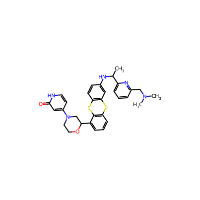 CC(Nc1ccc2c(c1)Sc1cccc(C3CN(c4cc[nH]c(=O)c4)CCO3)c1S2)c1cccc(CN(C)C)n1